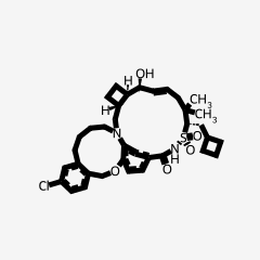 CC1(C)C/C=C/[C@H](O)[C@@H]2CC[C@H]2CN2CCCCc3cc(Cl)ccc3COc3ccc(cc32)C(=O)NS(=O)(=O)[C@H]1CC1CCC1